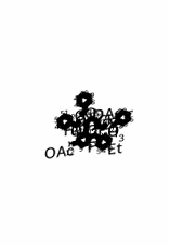 CCc1ccc(Cc2c(F)cc(COC(C)=O)cc2[C@@]2(O)O[C@H]([C@H](C)OC(=O)c3ccccc3)[C@@](C)(OC(C)=O)[C@H](OC(=O)c3ccccc3)[C@H]2OC(=O)c2ccccc2)cc1